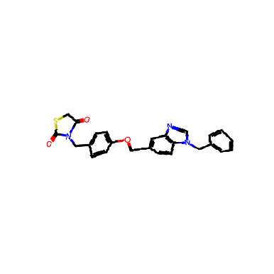 O=C1CSC(=O)N1Cc1ccc(OCc2ccc3c(c2)ncn3Cc2ccccc2)cc1